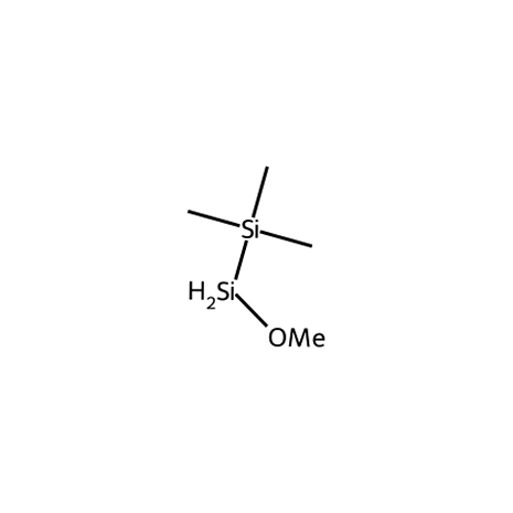 CO[SiH2][Si](C)(C)C